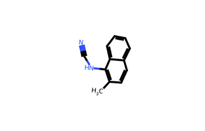 Cc1ccc2ccccc2c1NC#N